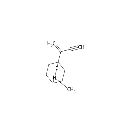 C#CC(=C)C12CCC(CC1)N(C)C2